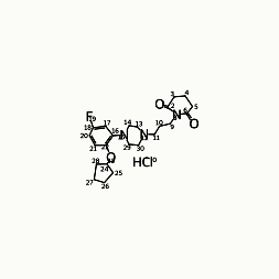 Cl.O=C1CCCC(=O)N1CCCN1CCN(c2cc(F)ccc2OC2CCCC2)CC1